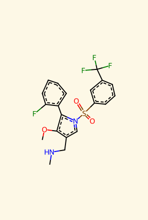 CNCc1cn(S(=O)(=O)c2cccc(C(F)(F)F)c2)c(-c2ccccc2F)c1OC